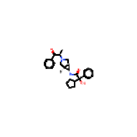 CC(C(=O)c1ccccc1)N1CC2[C@H](C1)[C@H]2NC(=O)C(O)(c1ccccc1)C1CCCC1